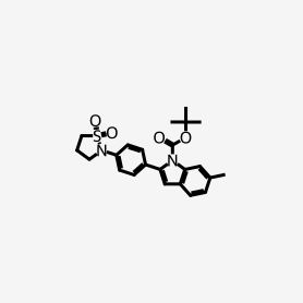 Cc1ccc2cc(-c3ccc(N4CCCS4(=O)=O)cc3)n(C(=O)OC(C)(C)C)c2c1